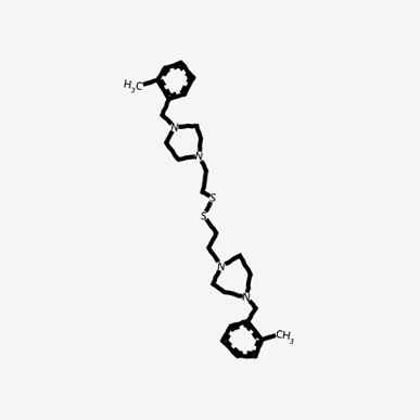 Cc1ccccc1CN1CCN(CCSSCCN2CCN(Cc3ccccc3C)CC2)CC1